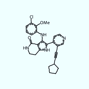 COc1c(Cl)cccc1Nc1c(-c2ccncc2C#CC2CCCC2)[nH]c2c1C(=O)NCC2